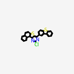 Clc1nc(-c2ccc3sc4ccccc4c3c2)c2sc3ccc4ccccc4c3c2n1